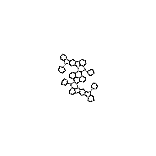 c1ccc(B2c3c(c4cccc5c6c(c7cccc3c7c54)-n3c4cc5c(cc4c4cccc(c43)B6c3ccccc3)c3ccccc3n5-c3ccccc3)-n3c4cc5c(cc4c4cccc2c43)c2ccccc2n5-c2ccccc2)cc1